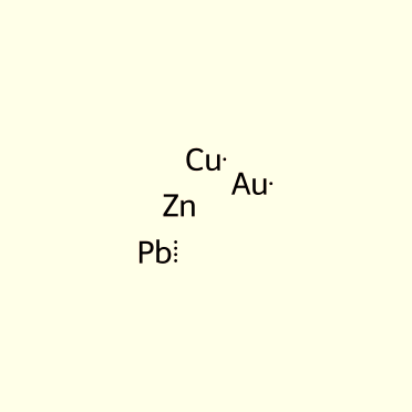 [Au].[Cu].[Pb].[Zn]